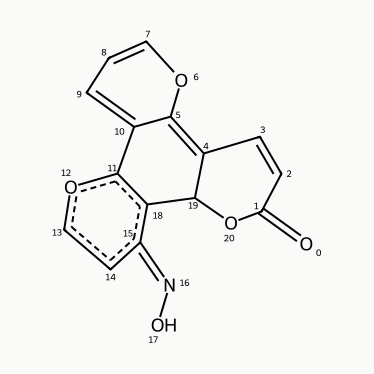 O=C1C=CC2=C3OC=CC=C3c3occc(=NO)c3C2O1